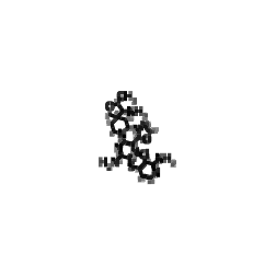 C[C@@H]1OCC2(CCN(c3nc(N)c(Sc4ccnc(N)c4Cl)nc3-c3nnco3)CC2)[C@@H]1N